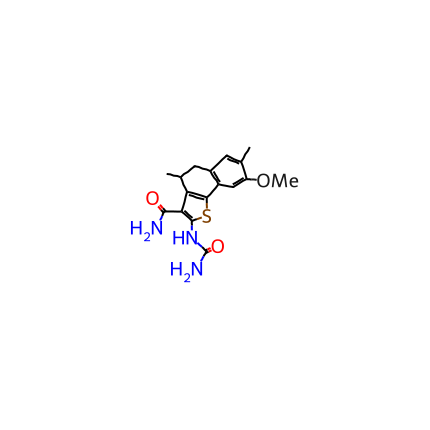 COc1cc2c(cc1C)CC(C)c1c-2sc(NC(N)=O)c1C(N)=O